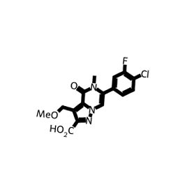 COCc1c(C(=O)O)nn2cc(-c3ccc(Cl)c(F)c3)n(C)c(=O)c12